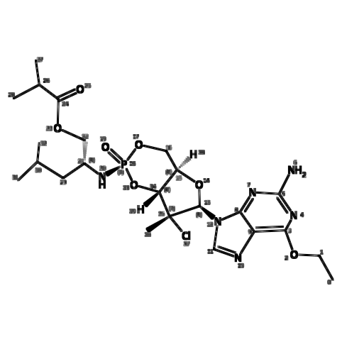 CCOc1nc(N)nc2c1ncn2[C@@H]1O[C@@H]2CO[P@](=O)(N[C@@H](COC(=O)C(C)C)CC(C)C)O[C@H]2[C@@]1(C)Cl